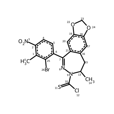 Cc1c([N+](=O)[O-])ccc(C2=NN(C(=S)Cl)C(C)Cc3cc4c(cc32)OCO4)c1Br